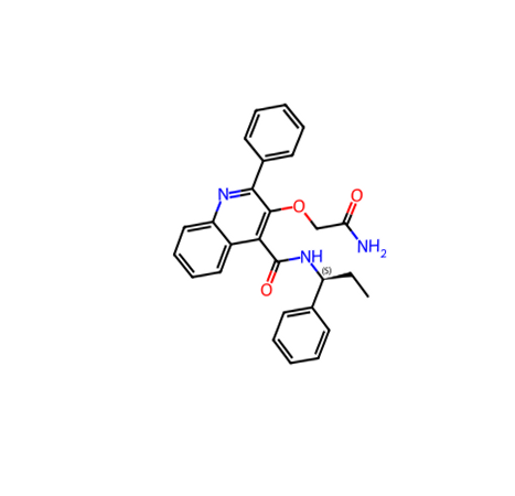 CC[C@H](NC(=O)c1c(OCC(N)=O)c(-c2ccccc2)nc2ccccc12)c1ccccc1